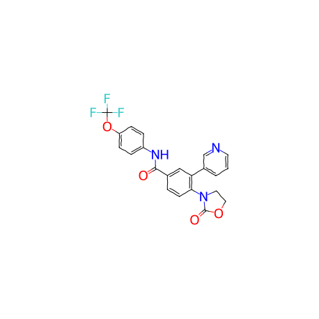 O=C(Nc1ccc(OC(F)(F)F)cc1)c1ccc(N2CCOC2=O)c(-c2cccnc2)c1